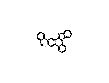 O=[N+]([O-])c1ccccc1-c1ccc2c3ccccc3n3c4ccccc4nc3c2c1